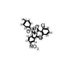 Cc1ccc(S(=O)(=O)n2c3ccc([N+](=O)[O-])cc3c(=O)n2C(=O)c2c(Cl)cccc2Cl)cc1